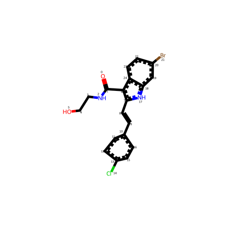 O=C(NCCO)c1c(C=Cc2ccc(Cl)cc2)[nH]c2cc(Br)ccc12